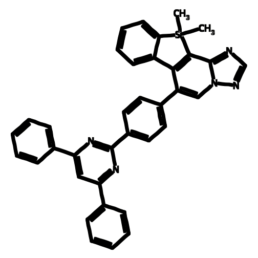 C[Si]1(C)c2ccccc2-c2c(-c3ccc(-c4nc(-c5ccccc5)cc(-c5ccccc5)n4)cc3)cn3ncnc3c21